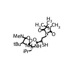 CNC(=O)C(NC(=O)[C@@H](CC(C)C)NC(=O)[C@H](S)CCN1C(=O)N(C)C(C)(C)C1=O)C(C)(C)C